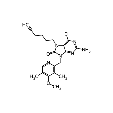 C#CCCCCn1c(=O)n(Cc2ncc(C)c(OC)c2C)c2nc(N)nc(Cl)c21